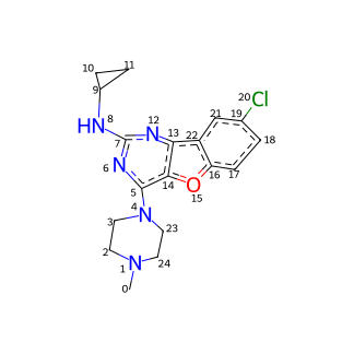 CN1CCN(c2nc(NC3CC3)nc3c2oc2ccc(Cl)cc23)CC1